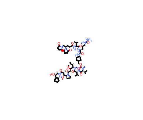 CC[C@H](C)[C@@H]([C@@H](CC(=O)N1CCC[C@H]1[C@H](OC)[C@@H](C)C(=O)N[C@H](C)[C@@H](O)c1ccccc1)OC)N(C)C(=O)[C@@H](NC(=O)[C@H](C(C)C)N(C)C(=O)OCc1ccc(NC(=O)[C@H](CCCNC(N)=O)NC(=O)[C@@H](NC(=O)CCC(CN2C(=O)C=CC2=O)N2C(=O)C=CC2=O)C(C)C)cc1)C(C)C